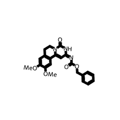 COc1cc2c(cc1OC)-c1c/c(=N\C(=O)OCc3ccccc3)[nH]c(=O)n1CC2